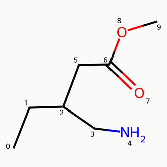 CCC(CN)CC(=O)OC